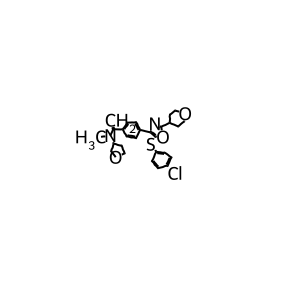 C=C(c1ccc(-c2nc(C3CCOCC3)oc2Sc2ccc(Cl)cc2)cc1)N(C)C1CCOC1